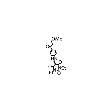 CCN1C(=O)C(=CNc2ccc(C(=O)CCOC)cc2)C(=O)N(CC)C1=O